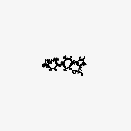 C[S+]([O-])c1nccn1-c1ccc(C2=NNC(=O)CC2)cc1